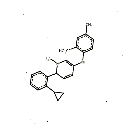 Cc1ccc(NC2=CN(C)C(c3ccccc3C3CC3)C=C2)c(C(=O)O)c1